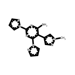 Cn1cc(-c2c(N)nc(-n3cccn3)nc2-n2cccn2)cn1